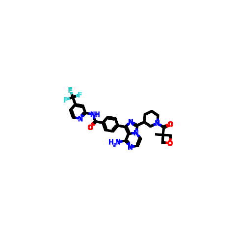 CC1(C(=O)N2CCCC(c3nc(-c4ccc(C(=O)Nc5cc(C(F)(F)F)ccn5)cc4)c4c(N)nccn34)C2)COC1